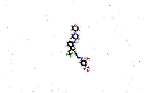 COc1cc(P(C)(C)=O)ccc1NCC#Cc1sc2c(N[C@H]3CCN(C4CCOCC4)C[C@@H]3C)cccc2c1CC(F)(F)F